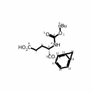 CCCCOC(=O)N[C@@H](CCC(=O)O)C(=O)O.c1ccc2c(c1)C2